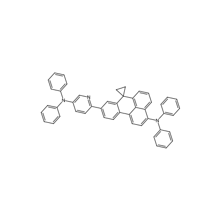 c1ccc(N(c2ccccc2)c2ccc(-c3ccc4c(c3)C3(CC3)c3cccc5c(N(c6ccccc6)c6ccccc6)ccc-4c35)nc2)cc1